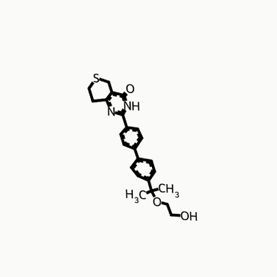 CC(C)(OCCO)c1ccc(-c2ccc(-c3nc4c(c(=O)[nH]3)CSCC4)cc2)cc1